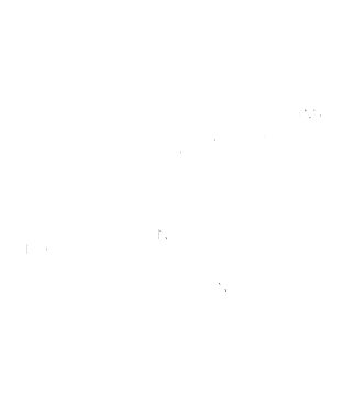 COC(=O)c1cccc2nc3ccc(C)cn3c(=O)c12